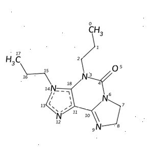 CCCN1C(=O)N2CCN=C2c2ncn(CCC)c21